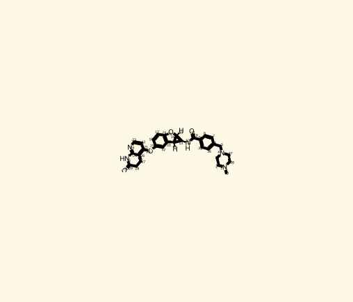 CN1CCN(Cc2ccc(C(=O)N[C@@H]3[C@H]4Oc5ccc(Oc6ccnc7c6CCC(=O)N7)cc5[C@@H]34)cc2)CC1